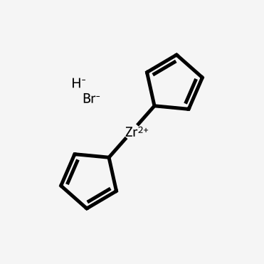 C1=C[CH]([Zr+2][CH]2C=CC=C2)C=C1.[Br-].[H-]